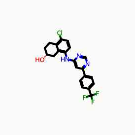 O[C@@H]1CCc2c(Cl)ccc(Nc3cc(-c4ccc(C(F)(F)F)cc4)ncn3)c2C1